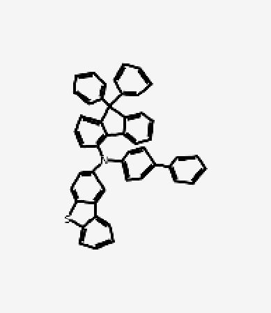 c1ccc(-c2ccc(N(c3ccc4sc5ccccc5c4c3)c3cccc4c3-c3ccccc3C4(c3ccccc3)c3ccccc3)cc2)cc1